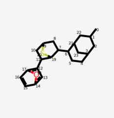 CC1CC2CCC(C3CC4CC(c5cc6ccc5o6)C3S4)C(C1)C2